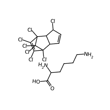 ClC1=C(Cl)C2(Cl)C3C(Cl)C=CC3C1(Cl)C2(Cl)Cl.NCCCCC(N)C(=O)O